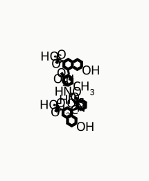 Cc1c2ccc(c1NC(=O)Nc1c3ccc(c1C)N(c1cc(S(=O)(=O)O)cc4ccc(O)cc14)S3(=O)=O)S(=O)(=O)N2c1cc(S(=O)(=O)O)cc2ccc(O)cc12